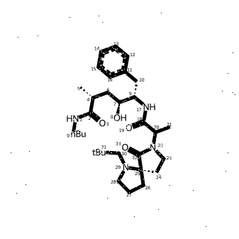 CCCCNC(=O)[C@H](C)C[C@H](O)[C@H](Cc1ccccc1)NC(=O)C(C)N1CC[C@@]2(CCCN2CC(C)(C)C)C1=O